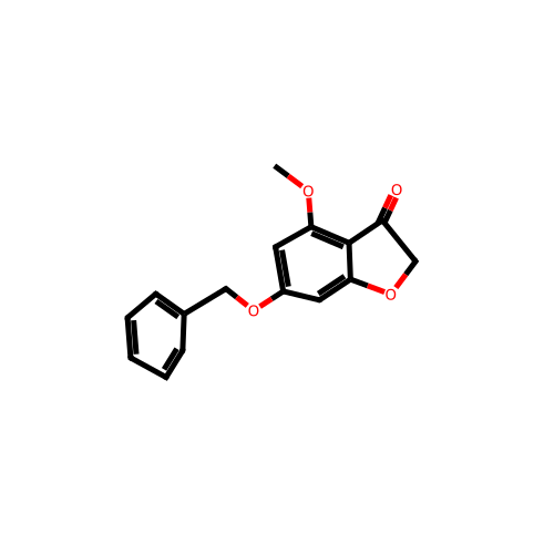 COc1cc(OCc2ccccc2)cc2c1C(=O)CO2